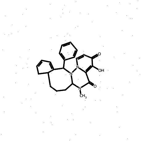 CN1C(=O)c2c(O)c(=O)ccn2N2C(c3ccccc3)C3=CC=CCC3CCCC12